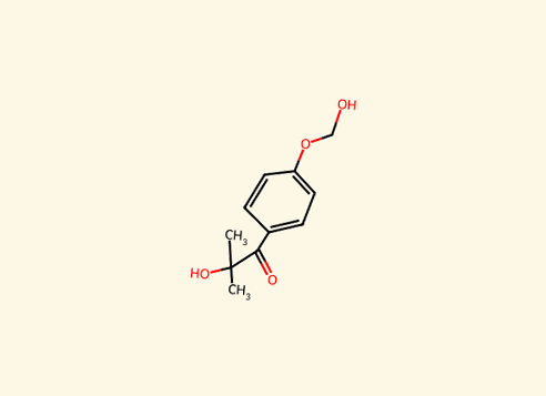 CC(C)(O)C(=O)c1ccc(OCO)cc1